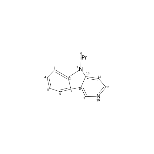 CC(C)n1c2ccccc2c2cnccc21